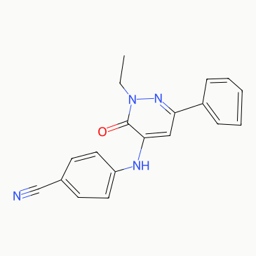 CCn1nc(-c2ccccc2)cc(Nc2ccc(C#N)cc2)c1=O